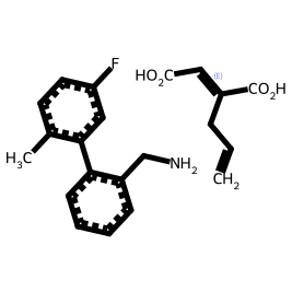 C=CC/C(=C\C(=O)O)C(=O)O.Cc1ccc(F)cc1-c1ccccc1CN